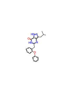 CC(C)Cc1n[nH]c2c(=O)[nH]c(Cc3ccccc3Oc3ccccc3)nc12